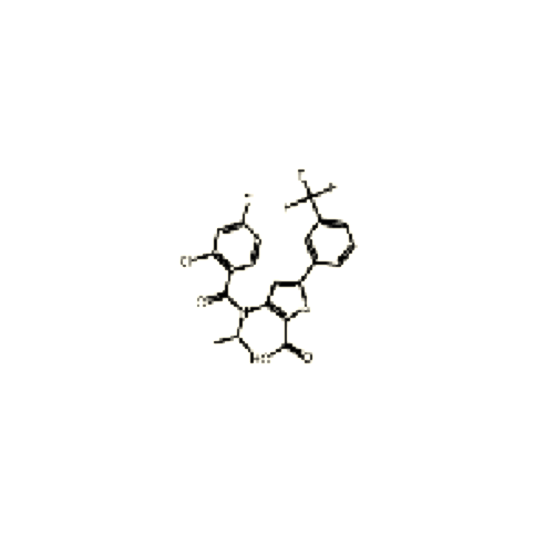 CC(C)N(C(=O)c1ccc(Cl)cc1Cl)c1cc(-c2cccc(C(F)(F)F)c2)sc1C(=O)O